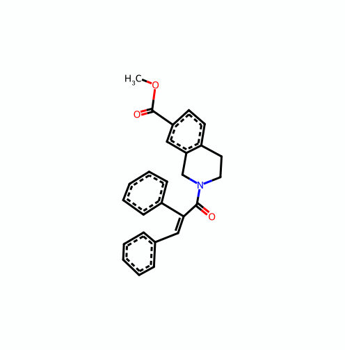 COC(=O)c1ccc2c(c1)CN(C(=O)C(=Cc1ccccc1)c1ccccc1)CC2